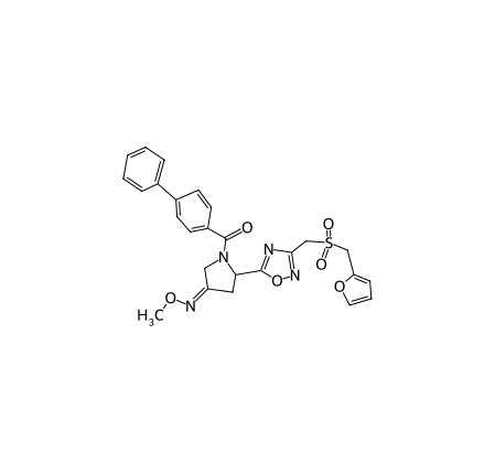 CON=C1CC(c2nc(CS(=O)(=O)Cc3ccco3)no2)N(C(=O)c2ccc(-c3ccccc3)cc2)C1